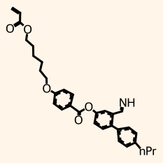 C=CC(=O)OCCCCCCOc1ccc(C(=O)Oc2ccc(-c3ccc(CCC)cc3)c(C=N)c2)cc1